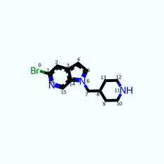 Brc1cc2ccn(CC3CCNCC3)c2cn1